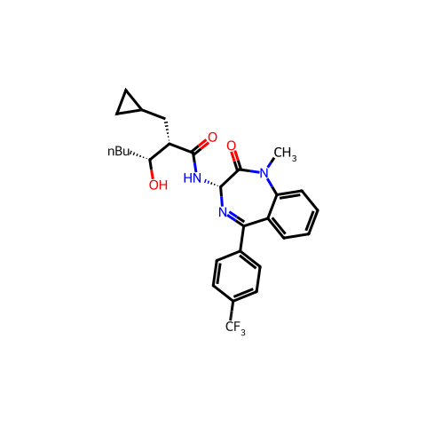 CCCC[C@@H](O)[C@H](CC1CC1)C(=O)N[C@H]1N=C(c2ccc(C(F)(F)F)cc2)c2ccccc2N(C)C1=O